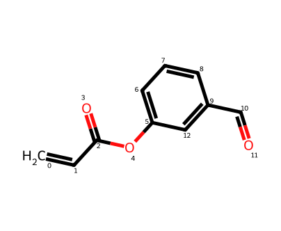 C=CC(=O)Oc1cccc(C=O)c1